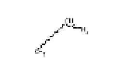 CCCCCCCCCCCCCCC(C)CCCCC